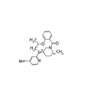 CC(C)Oc1ccccc1C(=O)N1C[C@H](Sc2cc(C#N)ccn2)CC[C@H]1C